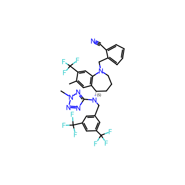 Cc1cc2c(cc1C(F)(F)F)N(Cc1ccccc1C#N)CCC[C@@H]2N(Cc1cc(C(F)(F)F)cc(C(F)(F)F)c1)c1nnn(C)n1